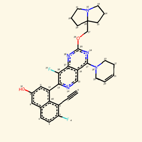 C#Cc1c(F)ccc2cc(O)cc(-c3ncc4c(N5CC=CCC5)nc(OCC56CCCN5CCC6)nc4c3F)c12